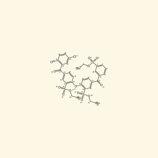 CC(C)(C)COS(=O)(=O)c1cccc(C(=O)c2ccc(Oc3ccc(C(=O)c4cc(Cl)ccc4Cl)cc3S(=O)(=O)OCC(C)(C)C)c(S(=O)(=O)OCC(C)(C)C)c2)c1